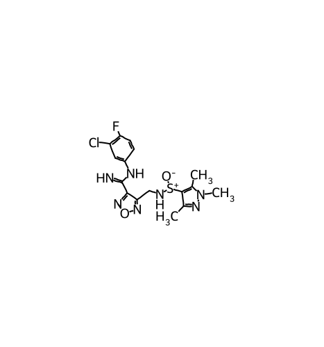 Cc1nn(C)c(C)c1[S+]([O-])NCc1nonc1C(=N)Nc1ccc(F)c(Cl)c1